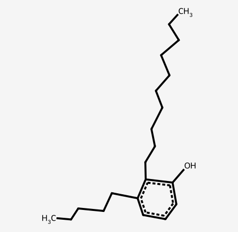 CCCCCCCCCCc1c(O)cccc1CCCCC